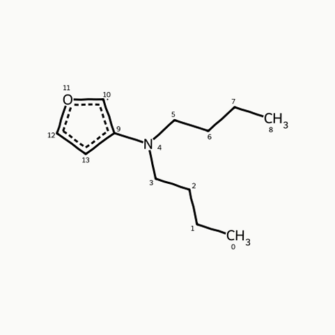 CCCCN(CCCC)c1[c]occ1